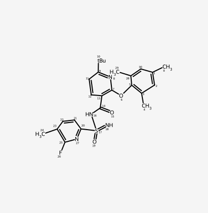 Cc1cc(C)c(Oc2nc(C(C)(C)C)ccc2C(=O)NS(=N)(=O)c2ccc(C)c(F)n2)c(C)c1